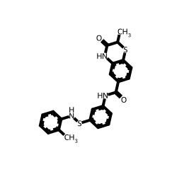 Cc1ccccc1NSc1cccc(NC(=O)c2ccc3c(c2)NC(=O)C(C)S3)c1